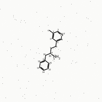 Cc1cncc(CC[C@@H](N)Cc2ccccc2)c1